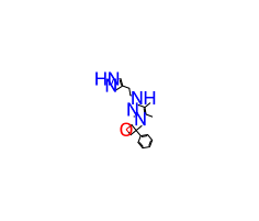 CC1=C(C)N(CC2(c3ccccc3)COC2)CN=C1NCCc1cn[nH]c1